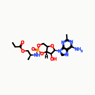 CCC(=O)OC[C@H](C)NP1(=O)OCC2O[C@@H](n3cnc4c(N)nc(C)nc43)[C@@H](O)[C@@H]2O1